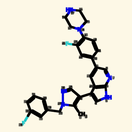 Cc1c(-c2c[nH]c3ncc(-c4ccc(N5CCNCC5)c(F)c4)cc23)cnn1Cc1cccc(F)c1